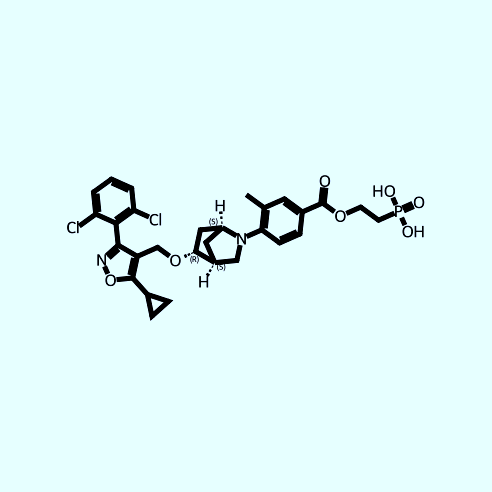 Cc1cc(C(=O)OCCP(=O)(O)O)ccc1N1C[C@@H]2C[C@H]1C[C@H]2OCc1c(-c2c(Cl)cccc2Cl)noc1C1CC1